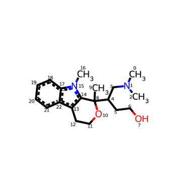 CN(C)CC(CCO)C1(C)OCCc2c1n(C)c1ccccc21